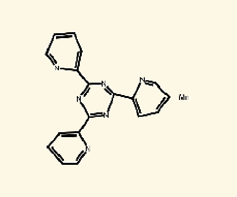 [Mn].c1ccc(-c2nc(-c3ccccn3)nc(-c3ccccn3)n2)nc1